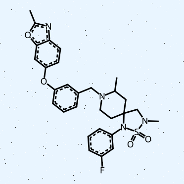 Cc1nc2ccc(Oc3cccc(CN4CCC5(CC4C)CN(C)S(=O)(=O)N5c4cccc(F)c4)c3)cc2o1